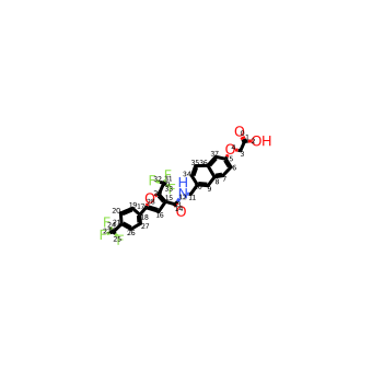 O=C(O)COc1ccc2cc(CNC(=O)c3cc(-c4ccc(C(F)(F)F)cc4)oc3C(F)(F)F)ccc2c1